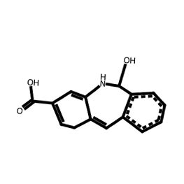 O=C(O)C1=CCC2=Cc3ccccc3C(O)NC2=C1